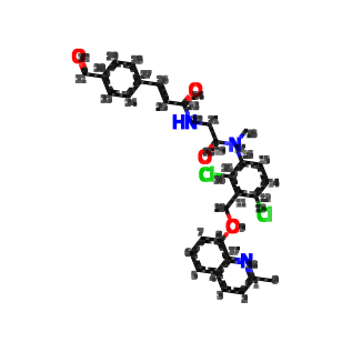 Cc1ccc2cccc(OCc3c(Cl)ccc(N(C)C(=O)CNC(=O)C=Cc4ccc(C=O)cc4)c3Cl)c2n1